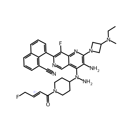 CCN(C)C1CN(c2nc3c(F)c(-c4cccc5cccc(C#N)c45)ncc3c(N(N)C3CCN(C(=O)/C=C/CF)CC3)c2N)C1